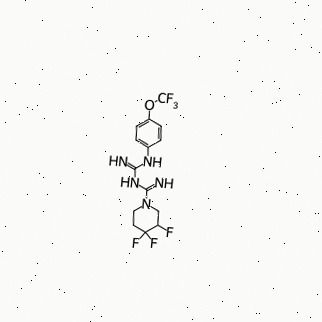 N=C(NC(=N)N1CCC(F)(F)C(F)C1)Nc1ccc(OC(F)(F)F)cc1